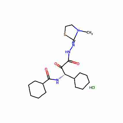 CN1CCSC1=NNC(=O)C(=O)[C@@H](NC(=O)C1CCCCC1)C1CCCCC1.Cl